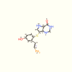 O=c1[nH]cnc2c(Sc3ccc(O)cc3/C=C/P)c[nH]c12